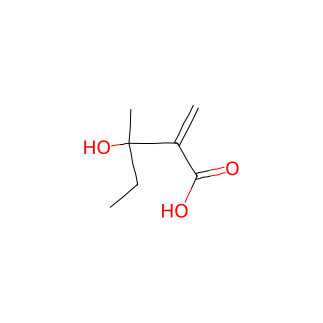 C=C(C(=O)O)C(C)(O)CC